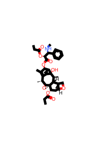 CCC(=O)O[C@H]1C[C@H]2OC[C@@]2(C)[C@H]2[C@H](C)[C@]3(O)C[C@H](OC(=O)[C@H](OC(=O)CC)[C@@H](NC)c4ccccc4)C(C)=C([C@@H](C)C(=O)[C@]12C)C3(C)C